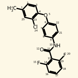 Cc1ccc(Oc2ccc(NC(=O)c3c(F)cccc3F)cc2)c(Cl)c1